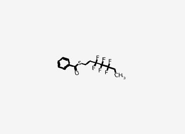 CCC(F)(F)C(F)(F)C(F)(F)CCSC(=O)c1ccccc1